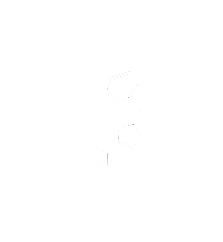 O=CC(Br)C1=COC(Cc2ccccc2)O1